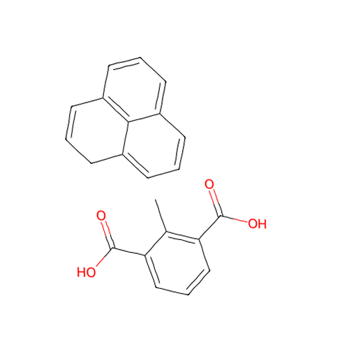 C1=Cc2cccc3cccc(c23)C1.Cc1c(C(=O)O)cccc1C(=O)O